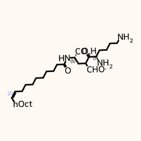 CCCCCCCC/C=C\CCCCCCCCC(=O)N[C@@H](CC([C]=O)C(=O)[C@@H](N)CCCCN)C(=O)O